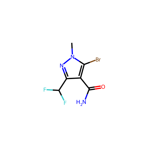 Cn1nc(C(F)F)c(C(N)=O)c1Br